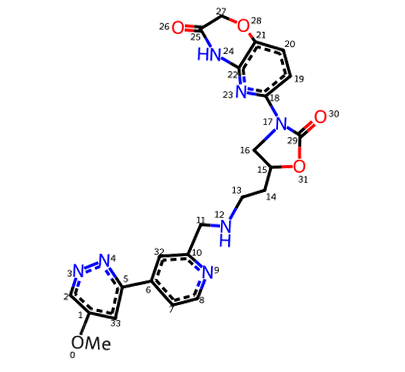 COc1cnnc(-c2ccnc(CNCCC3CN(c4ccc5c(n4)NC(=O)CO5)C(=O)O3)c2)c1